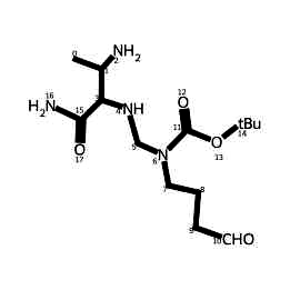 CC(N)C(NCN(CCCC=O)C(=O)OC(C)(C)C)C(N)=O